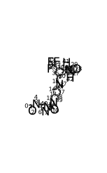 CC(=O)N(C)c1cnn(C(=O)N2CC3CC(N(C)Cc4cc(N5[C@@H]6CC[C@H]5COC6)cc(C(F)(F)F)c4)CC3C2)c1